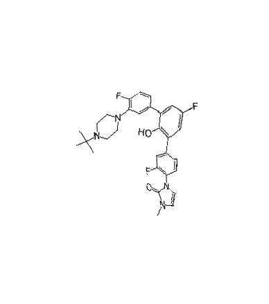 Cn1ccn(-c2ccc(-c3cc(F)cc(-c4ccc(F)c(N5CCN(C(C)(C)C)CC5)c4)c3O)cc2F)c1=O